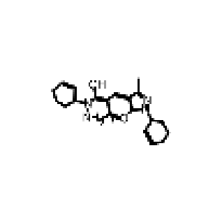 C=C(C)C(/C=C1/C(C)=NN(C2C=CCCC2)C1O)=C(/O)N(N)C1C=CCCC1